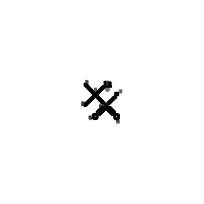 CCC(C)(C)S(=O)(=O)F